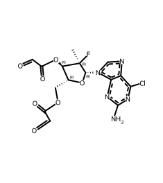 C[C@@]1(F)[C@H](OC(=O)C=O)[C@@H](COC(=O)C=O)O[C@H]1n1cnc2c(Cl)nc(N)nc21